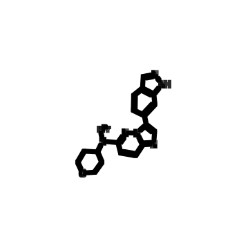 CCCN(c1ccc2ncc(-c3ccc4cn[nH]c4c3)n2n1)C1CCOCC1